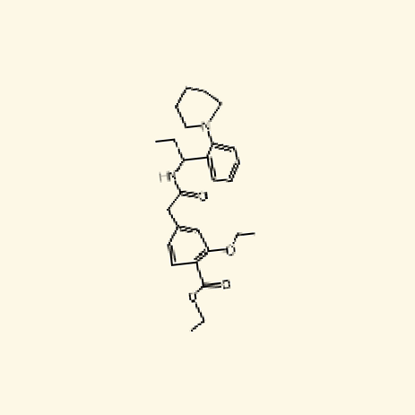 CCOC(=O)c1ccc(CC(=O)NC(CC)c2ccccc2N2CCCCC2)cc1OCC